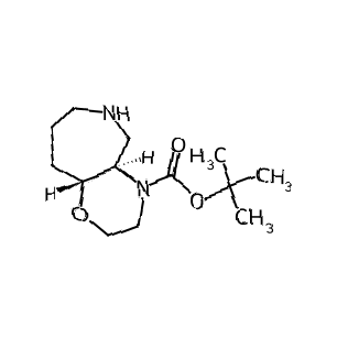 CC(C)(C)OC(=O)N1CCO[C@@H]2CCCNC[C@H]21